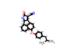 CC(C)Cc1ccc(Oc2ccc3c4c(cccc24)C2=NC(=O)C(C#N)=C23)cc1